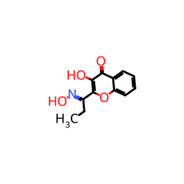 CCC(=NO)c1oc2ccccc2c(=O)c1O